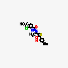 C/C(=N\NC(=O)c1ccc(C(=O)O)c(Cl)c1)c1csc(-c2ccc(C(C)(C)C)cc2)c1O